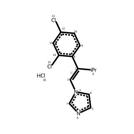 CC(C)/C(=C\n1ccnc1)c1ccc(Cl)cc1Cl.Cl